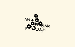 COC[C@@H]1C[C@@H](c2ccc(F)cc2N2CCC(C(=O)O)CC2)CN1C(=O)[C@@H]1CN(C2CCCC2)C[C@H]1c1ccc(OC)cc1